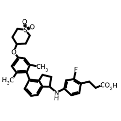 Cc1cc(OC2CCS(=O)(=O)CC2)cc(C)c1-c1cccc2c1CCC2Nc1ccc(CCC(=O)O)c(F)c1